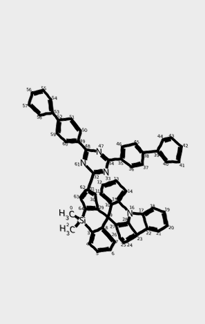 C[Si]1(C)c2ccccc2C2(c3ccccc3-n3c4ccccc4c4cccc2c43)c2cc(-c3nc(-c4ccc(-c5ccccc5)cc4)nc(-c4ccc(-c5ccccc5)cc4)n3)ccc21